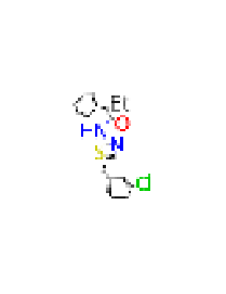 CC[C@H](C(=O)Nc1ncc(Cc2cccc(Cl)c2)s1)c1ccccc1